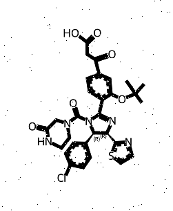 CC(C)(C)Oc1cc(C(=O)CC(=O)O)ccc1C1=N[C@@H](c2nccs2)[C@@H](c2ccc(Cl)cc2)N1C(=O)N1CCNC(=O)C1